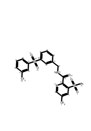 CC(C)S(=O)(=O)c1cc(C(F)(F)F)cnc1C(=O)NCc1cccc(S(=O)(=O)c2cccc(C(F)(F)F)c2)c1